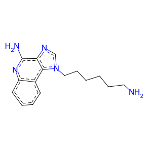 NCCCCCCn1cnc2c(N)nc3ccccc3c21